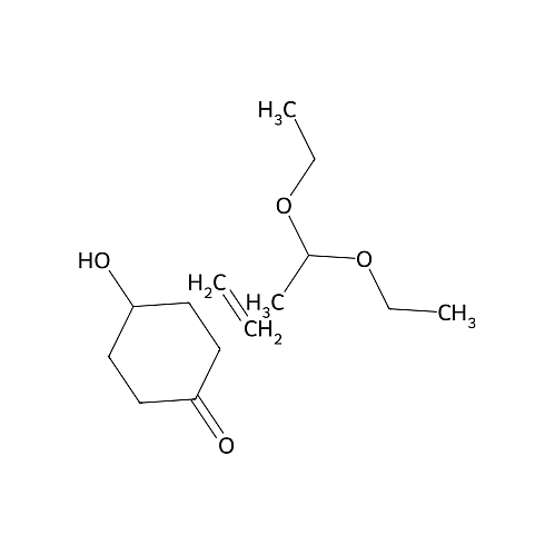 C=C.CCOC(C)OCC.O=C1CCC(O)CC1